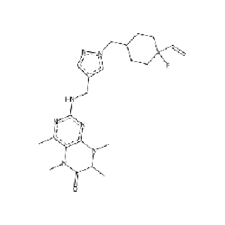 C=CC1(F)CCC(Cn2cc(CNc3nc(C)c4c(n3)N(C)C(C)C(=O)N4C)cn2)CC1